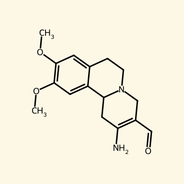 COc1cc2c(cc1OC)C1CC(N)=C(C=O)CN1CC2